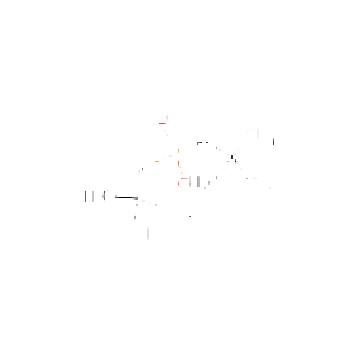 CC(C)(C)CP(=O)(O)CC(C)(C)C